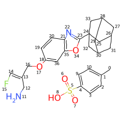 Cc1ccc(S(=O)(=O)O)cc1.NC/C(=C\F)COc1ccc2nc(C34CC5CC(CC(C5)C3)C4)oc2c1